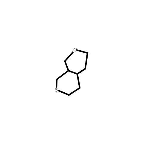 C1CC2CCSCC2CO1